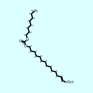 CCCCCCCCC=CCCCCCCCCCCCCOC(=O)OCCCCCCCC(C)C